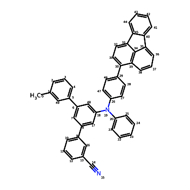 Cc1cccc(-c2cc(-c3cccc(C#N)c3)cc(N(c3ccccc3)c3ccc(-c4ccc5c6c(cccc46)-c4ccccc4-5)cc3)c2)c1